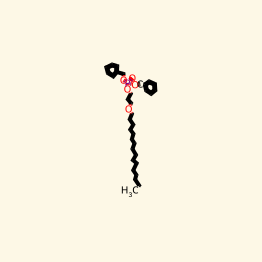 CCCCCCCCCCCCCCCCOCCCOP(=O)(OCc1ccccc1)OCc1ccccc1